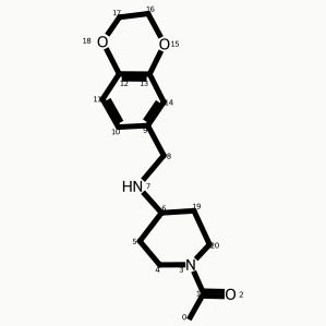 CC(=O)N1CCC(NCc2ccc3c(c2)OCCO3)CC1